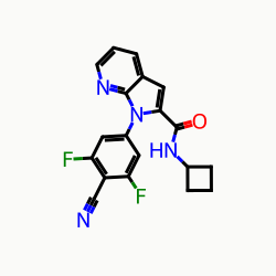 N#Cc1c(F)cc(-n2c(C(=O)NC3CCC3)cc3cccnc32)cc1F